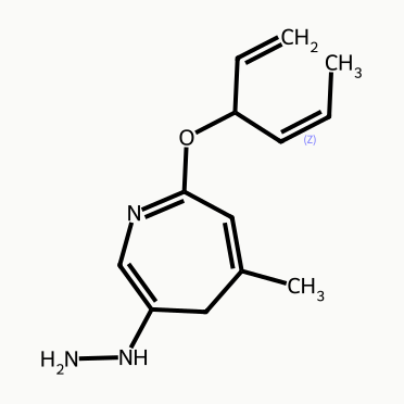 C=CC(/C=C\C)OC1=NC=C(NN)CC(C)=C1